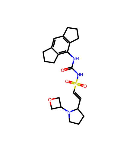 O=C(Nc1c2c(cc3c1CCC3)CCC2)NS(=O)(=O)/C=C/C1CCCN1C1COC1